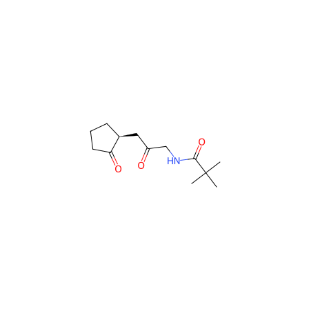 CC(C)(C)C(=O)NCC(=O)C[C@@H]1CCCC1=O